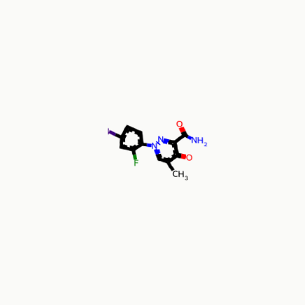 Cc1cn(-c2ccc(I)cc2F)nc(C(N)=O)c1=O